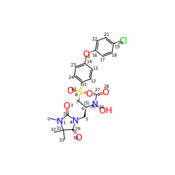 CN1C(=O)N(C[C@@H](CS(=O)(=O)c2ccc(Oc3ccc(Cl)cc3)cc2)N(O)C=O)C(=O)C1(C)C